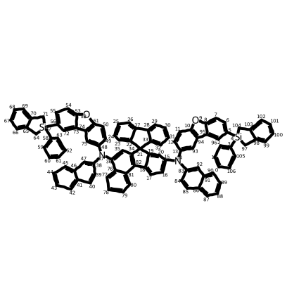 c1ccc([Si]2(c3ccc4oc5ccc(N(c6ccc7c(c6)C6(c8ccccc8-c8ccccc86)c6cc(N(c8ccc9ccccc9c8)c8ccc9oc%10ccc([Si]%11(c%12ccccc%12)Cc%12ccccc%12C%11)cc%10c9c8)c8ccccc8c6-7)c6ccc7ccccc7c6)cc5c4c3)Cc3ccccc3C2)cc1